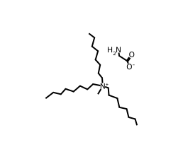 CCCCCCCC[N+](C)(CCCCCCCC)CCCCCCCC.NCC(=O)[O-]